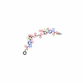 CCCCOC(=O)Nc1ccn([C@H]2O[C@H](COC(=O)CCC(=O)OC[C@H]3O[C@@H](n4ccc(NC(=O)OCc5ccccc5)nc4=O)C(F)(F)[C@@H]3O)[C@@H](O)C2(F)F)c(=O)n1